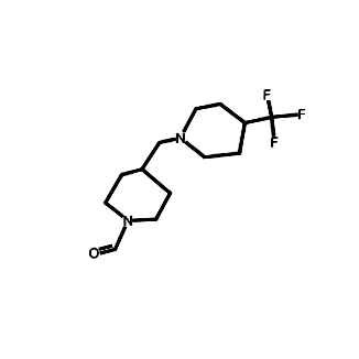 O=CN1CCC(CN2CCC(C(F)(F)F)CC2)CC1